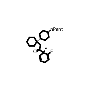 CCCCC[C@H]1CC[C@H](C2(CC(=O)C3(F)C=CCC=C3F)CCCCC2)CC1